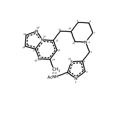 CC(=O)Nc1ncc(CN2CCCC(Cc3cc(C)nc4ccnn34)C2)s1